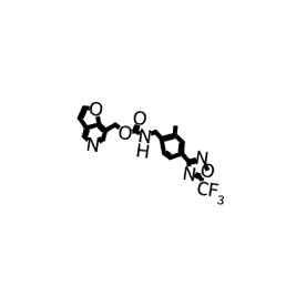 Cc1cc(-c2noc(C(F)(F)F)n2)ccc1CNC(=O)OCc1cncc2ccoc12